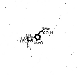 CN[C@@H](Cc1ccc(OC)c(B2OC(C)(C)C(C)(C)O2)c1)C(=O)O